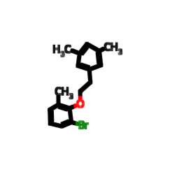 Cc1cc(C)cc(CCOc2c(C)cccc2Br)c1